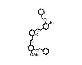 CCc1ccc(/C=C/c2cccc(/C=C/c3ccc(OC)c(OCc4ccccc4)c3)[n+]2C)cc1OCc1ccccc1